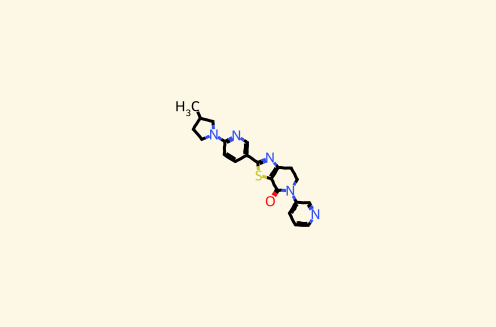 CC1CCN(c2ccc(-c3nc4c(s3)C(=O)N(c3cccnc3)CC4)cn2)C1